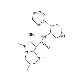 CN1CC(F)CN2C1C(C(=O)NC1CNCCC1c1ccccc1)C(N)N2C